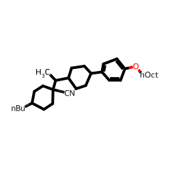 CCCCCCCCOc1ccc(C2CCC(C(C)C3(C#N)CCC(CCCC)CC3)CC2)cc1